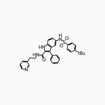 CC(C)(C)c1ccc(S(=O)(=O)Nc2ccc3[nH]c(C(=O)NCCc4cccnc4)c(-c4ccccc4)c3c2)cc1